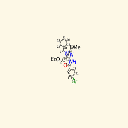 CCOC(=O)c1c(NC(=O)c2ccc(Br)cc2)nc(SC)n1Cc1ccccc1